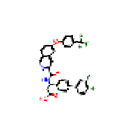 O=C(O)CC(NC(=O)c1cc2cc(Oc3ccc(C(F)(F)F)cc3)ccc2cn1)c1ccc(-c2ccc(F)c(Cl)c2)cc1